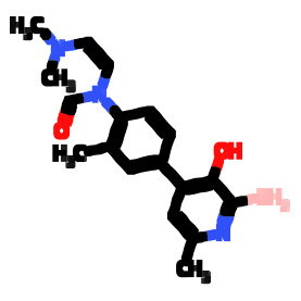 Bc1nc(C)cc(-c2ccc(N(C=O)/C=C\N(C)C)c(C)c2)c1O